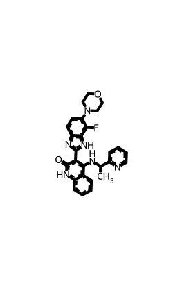 CC(Nc1c(-c2nc3ccc(N4CCOCC4)c(F)c3[nH]2)c(=O)[nH]c2ccccc12)c1ccccn1